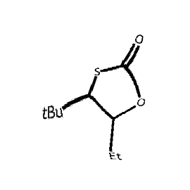 CCC1OC(=O)SC1C(C)(C)C